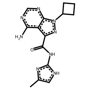 Cc1c[nH]c(NC(=O)c2nn(C3CCC3)c3ncnc(N)c23)n1